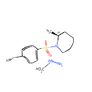 CC(=O)Nc1ccc(S(=O)(=O)N2CCCC[C@@H]2C)cc1.NNC(=O)O